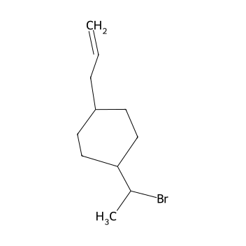 C=CCC1CCC(C(C)Br)CC1